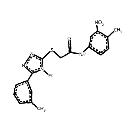 CCn1c(SCC(=O)Nc2ccc(C)c([N+](=O)[O-])c2)nnc1-c1cccc(C)c1